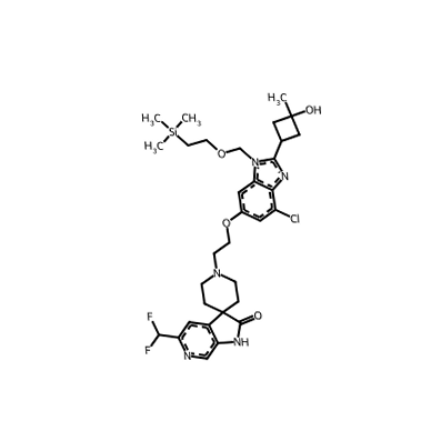 CC1(O)CC(c2nc3c(Cl)cc(OCCN4CCC5(CC4)C(=O)Nc4cnc(C(F)F)cc45)cc3n2COCC[Si](C)(C)C)C1